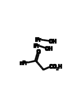 CC(C)O.CC(C)O.CCCC(=O)CC(=O)O